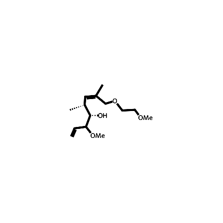 C=CC(OC)[C@@H](O)[C@H](C)/C=C(/C)COCCOC